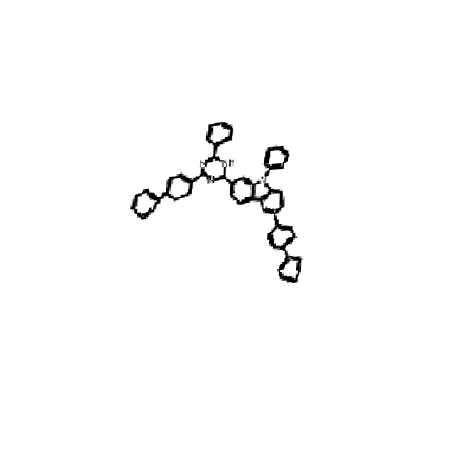 C1=C(C2=NC(c3ccc4c5cc(-c6ccc(-c7ccccc7)cc6)ccc5n(-c5ccccc5)c4c3)NC(c3ccccc3)=N2)CCC(c2ccccc2)=C1